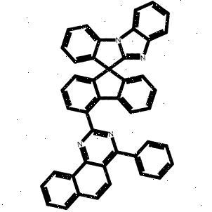 c1ccc(-c2nc(-c3cccc4c3-c3ccccc3C43c4ccccc4-n4c3nc3ccccc34)nc3c2ccc2ccccc23)cc1